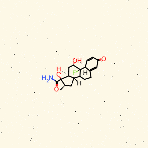 C[C@@H]1C[C@H]2[C@@H]3CCC4=CC(=O)C=C[C@]4(C)[C@@]3(F)[C@@H](O)C[C@]2(C)[C@@]1(O)C(N)=O